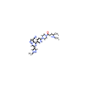 CNC(C)CCC(=O)N1CCN(c2ccc(-c3nc(-c4cnn(C)c4)cn4ncc(C#N)c34)cn2)CC1